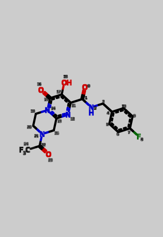 O=C(NCc1ccc(F)cc1)c1nc2n(c(=O)c1O)CCN(C(=O)C(F)(F)F)C2